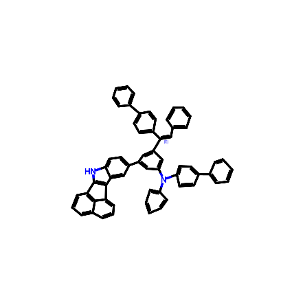 C(=C(/c1ccc(-c2ccccc2)cc1)c1cc(-c2ccc3[nH]c4c(c3c2)-c2cccc3cccc-4c23)cc(N(c2ccccc2)c2ccc(-c3ccccc3)cc2)c1)/c1ccccc1